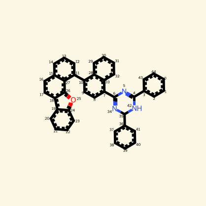 c1ccc(C2=NC(c3ccc(-c4cccc5ccc6c7ccccc7oc6c45)c4ccccc34)=NC(c3ccccc3)N2)cc1